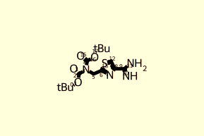 CC(C)(C)OC(=O)N(Cc1nc(C(=N)N)cs1)C(=O)OC(C)(C)C